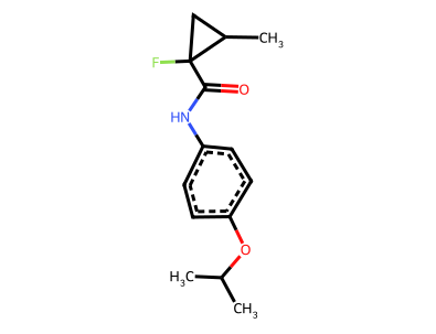 CC(C)Oc1ccc(NC(=O)C2(F)CC2C)cc1